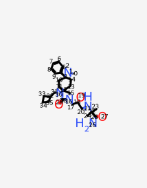 CN(C)C1(c2ccccc2)CCC2(CC1)CN(CC(=O)CNC(C)(C)C(N)=O)C(=O)N2CC1CCC1